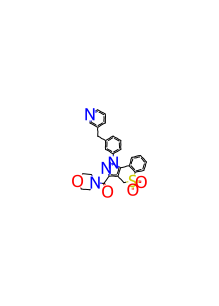 O=C(c1nn(-c2cccc(Cc3cccnc3)c2)c2c1CS(=O)(=O)c1ccccc1-2)N1CCOCC1